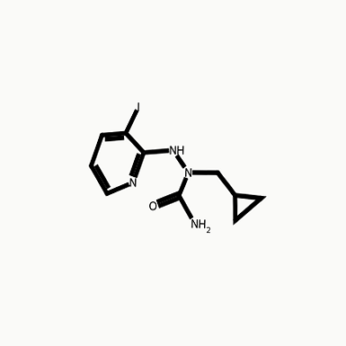 NC(=O)N(CC1CC1)Nc1ncccc1I